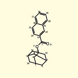 O=C(OC12CC3CC(CC(C3)C1)C2)c1ccc2ccccc2c1